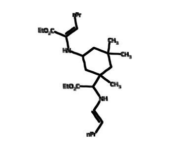 CCCC=CNC(C(=O)OCC)C1(C)CC(NC(=CCCC)C(=O)OCC)CC(C)(C)C1